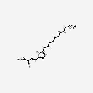 CCCCCC(=O)C=Cc1ccc(CCCCCCCCCC(=O)O)s1